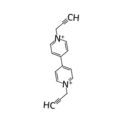 C#CC[n+]1ccc(-c2cc[n+](CC#C)cc2)cc1